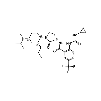 CCC[C@H]1C[C@H](N(C)C(C)C)CC[C@@H]1N1CC[C@H](NC(=O)c2cc(C(F)(F)F)ccc2NC(=O)NC2CC2)C1=O